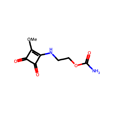 COc1c(NCCOC(N)=O)c(=O)c1=O